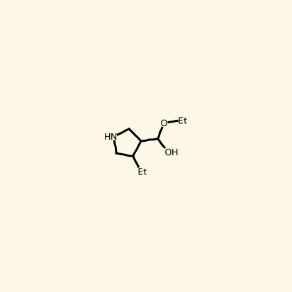 CCOC(O)C1CNCC1CC